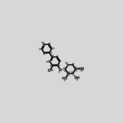 O[C@@H]1[C@@H](O)[C@H](Oc2ccc(-c3ccncc3)nc2Cl)SC[C@H]1O